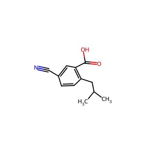 CC(C)Cc1ccc(C#N)cc1C(=O)O